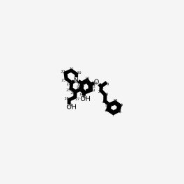 CC(CCCc1ccccc1)Oc1cc(O)c2c(c1)N1CCCCC1CC2CCO